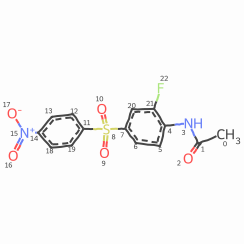 CC(=O)Nc1ccc(S(=O)(=O)c2ccc([N+](=O)[O-])cc2)cc1F